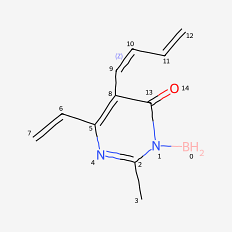 Bn1c(C)nc(C=C)c(/C=C\C=C)c1=O